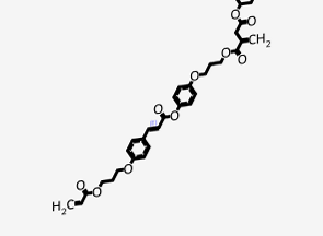 C=CC(=O)OCCCOc1ccc(/C=C/C(=O)Oc2ccc(OCCCOC(=O)C(=C)CC(=O)OC3CCCCC3)cc2)cc1